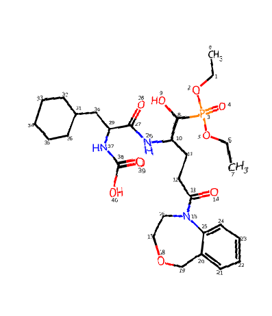 CCOP(=O)(OCC)C(O)C(CCC(=O)N1CCOCc2ccccc21)NC(=O)C(CC1CCCCC1)NC(=O)O